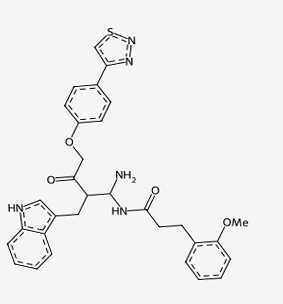 COc1ccccc1CCC(=O)NC(N)C(Cc1c[nH]c2ccccc12)C(=O)COc1ccc(-c2csnn2)cc1